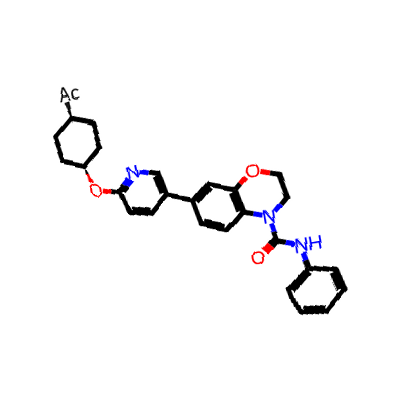 CC(=O)[C@H]1CC[C@@H](Oc2ccc(-c3ccc4c(c3)OCCN4C(=O)Nc3ccccc3)cn2)CC1